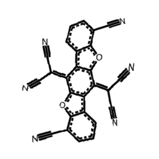 N#CC(C#N)=c1c2oc3c(C#N)cccc3c2c(=C(C#N)C#N)c2oc3c(C#N)cccc3c12